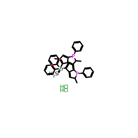 CC1=[C]([Zr](=[SiH2])([C]2=C(C)C=C3C2=CC(C)P3c2ccccc2)([c]2ccccc2)[c]2ccccc2)C2=CC(C)P(c3ccccc3)C2=C1.Cl.Cl